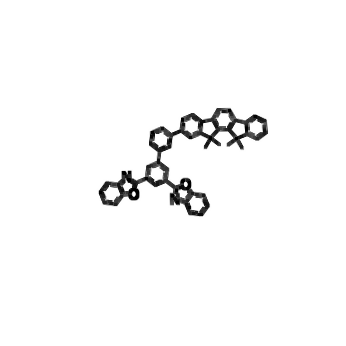 CC1(C)c2ccccc2-c2ccc3c(c21)C(C)(C)c1cc(-c2cccc(-c4cc(-c5nc6ccccc6o5)cc(-c5nc6ccccc6o5)c4)c2)ccc1-3